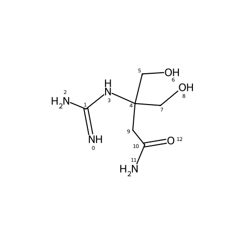 N=C(N)NC(CO)(CO)CC(N)=O